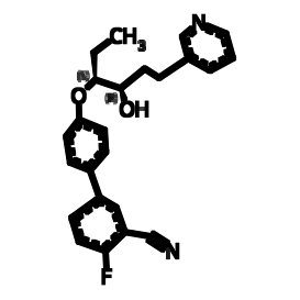 CC[C@H](Oc1ccc(-c2ccc(F)c(C#N)c2)cc1)[C@H](O)CCc1cccnc1